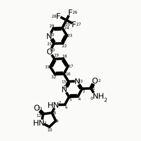 NC(=O)c1cc(CNC2CCNC2=O)nc(-c2ccc(Oc3ccc(C(F)(F)F)cn3)cc2)n1